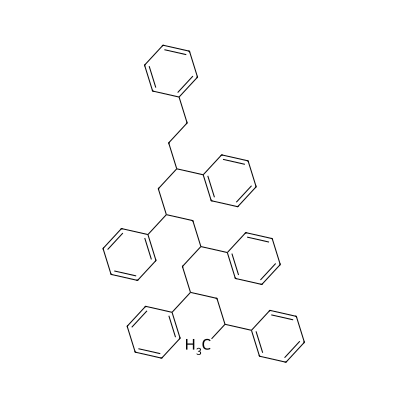 CC(CC(CC(CC(CC(CCc1ccccc1)c1ccccc1)c1ccccc1)c1ccccc1)c1ccccc1)c1ccccc1